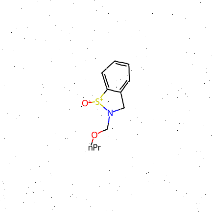 CCCOCN1Cc2ccccc2[S+]1[O-]